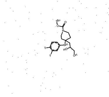 CC(C)(C)OC(=O)N1CCC(CC(O)CO)(Nc2ccc(F)c(F)c2)CC1